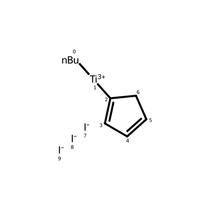 CCC[CH2][Ti+3][C]1=CC=CC1.[I-].[I-].[I-]